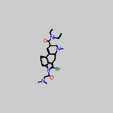 CCN(CC)C(=O)C1C=C2c3cccc4c3c(c(Br)n4C(=O)CN(C)C)CC2N(C)C1